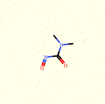 CN(C)C(=O)N=O